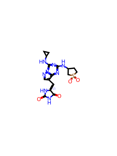 O=C1NC(=O)/C(=C/c2cnn3c(NC4CC4)nc(NC4CCS(=O)(=O)C4)nc23)N1